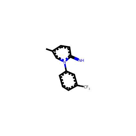 Cc1ccc(=N)n(-c2cccc(C(F)(F)F)c2)c1